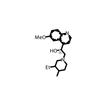 CCC1CN(C[C@@H](O)c2ccnc3ccc(OC)cc23)CCC1C